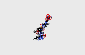 CCCc1nn(C)c2c(=O)[nH]c(-c3cc(S(=O)(=O)N4CC(N(C)CCO[N+](=O)[O-])C4)ccc3OCC)nc12